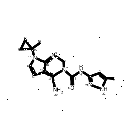 Cc1cc(NC(=O)N2CN=c3c(ccn3C3(C)CC3)=C2N)n[nH]1